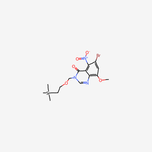 COc1cc(Br)c([N+](=O)[O-])c2c(=O)n(COCC[Si](C)(C)C)cnc12